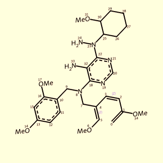 C=C(/C=C\C(=C\OC)CN(Cc1ccc(OC)cc1OC)c1ncnc(N(N)C2CCCCC2OC)c1N)OC